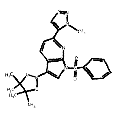 Cn1nncc1-c1ccc2c(B3OC(C)(C)C(C)(C)O3)cn(S(=O)(=O)c3ccccc3)c2n1